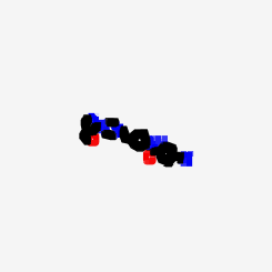 N#Cc1ccc(C(=O)NC2CCC(CCN3CCN(c4nccc5c4OCC5)CC3)CC2)cc1